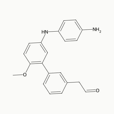 COc1ccc(Nc2ccc(N)cc2)cc1-c1cccc(CC=O)c1